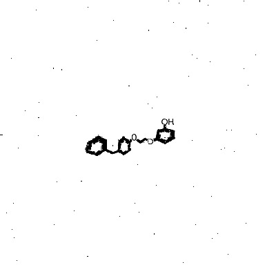 Oc1cccc(OCCOc2ccc(Cc3ccccc3)cc2)c1